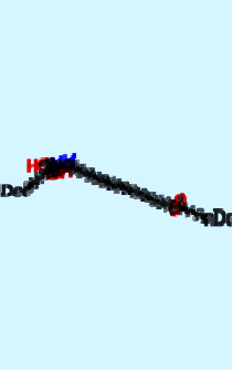 CCCCCCCCCCCCCC=CC=CC(=O)OCCCCCCCCCCCCCCCCCCCCCCCCCCCCCC(=O)N[C@@H](CO)[C@H](O)CCCCCCCCCCCCCCCCC